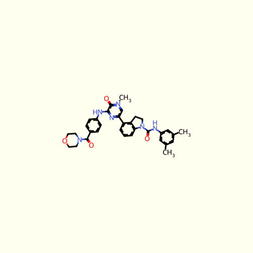 Cc1cc(C)cc(NC(=O)N2CCc3c(-c4cn(C)c(=O)c(Nc5ccc(C(=O)N6CCOCC6)cc5)n4)cccc32)c1